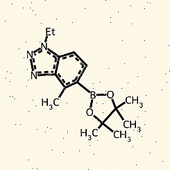 CCn1nnc2c(C)c(B3OC(C)(C)C(C)(C)O3)ccc21